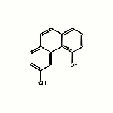 Oc1ccc2ccc3cccc(O)c3c2c1